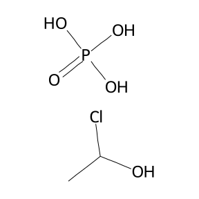 CC(O)Cl.O=P(O)(O)O